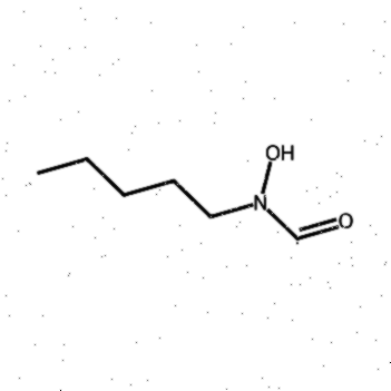 CCCCCN(O)[C]=O